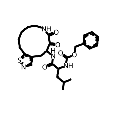 CC(C)CC(NC(=O)OCc1ccccc1)C(=O)NC1Cc2cnsc2CCCCCNC(=O)C1=O